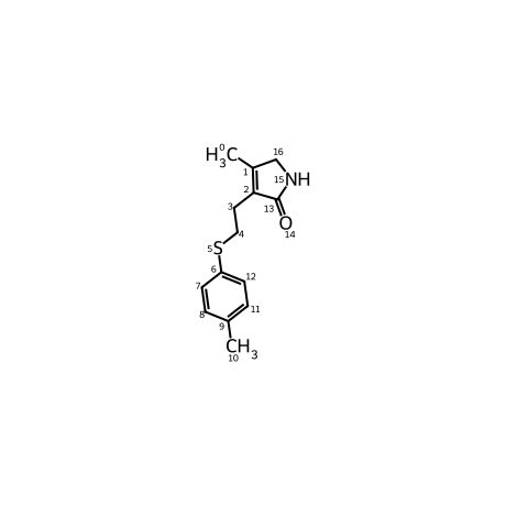 CC1=C(CCSc2ccc(C)cc2)C(=O)NC1